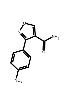 NC(=O)c1conc1-c1ccc([N+](=O)[O-])cc1